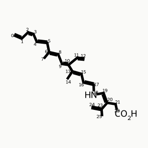 C=C\C=C/C=C/C(C)=C/C=C(C=C)/C(C)=C/C=C/N/C=C(/CC(=O)O)C(=C)C